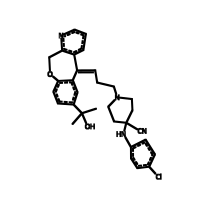 CC(C)(O)c1ccc2c(c1)/C(=C\CCN1CCC(C#N)(Nc3ccc(Cl)cc3)CC1)c1cccnc1CO2